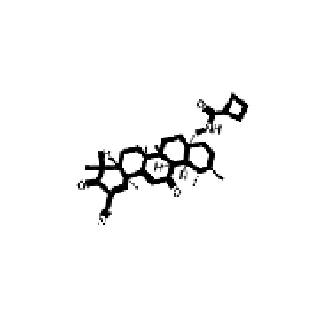 C[C@@H]1[C@H]2[C@H]3C(=O)C=C4[C@@]5(C)C=C(C#N)C(=O)C(C)(C)[C@@H]5CC[C@@]4(C)[C@]3(C)CC[C@@]2(CNC(=O)C2CCC2)CC[C@H]1C